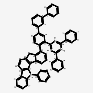 c1ccc(-c2cccc(-c3ccc(-c4cccc5c4Cc4ccc6c7ccccc7n(-c7ccccc7)c6c4-5)c(-c4nc(-c5ccccc5)nc(-c5ccccc5)n4)c3)c2)cc1